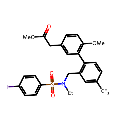 CCN(Cc1cc(C(F)(F)F)ccc1-c1cc(CC(=O)OC)ccc1OC)S(=O)(=O)c1ccc(I)cc1